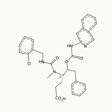 CN(C(=O)NCc1ccccc1Cl)[C@@H](CCC(=O)O)C(Cc1ccccc1)OC(=O)Nc1cc2ccccc2cn1